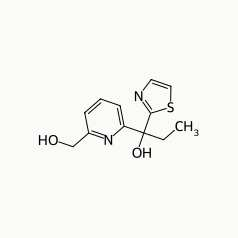 CCC(O)(c1cccc(CO)n1)c1nccs1